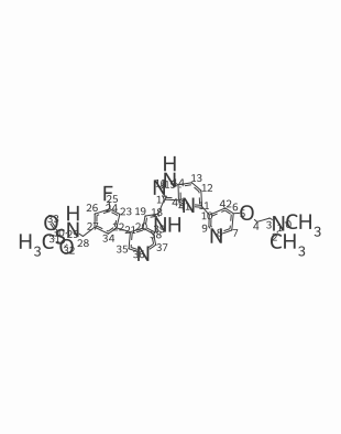 CN(C)CCOc1cncc(-c2ccc3[nH]nc(-c4cc5c(-c6cc(F)cc(CNS(C)(=O)=O)c6)cncc5[nH]4)c3n2)c1